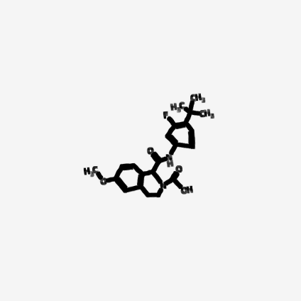 COc1ccc2c(c1)CCN(C(=O)O)C2C(=O)Nc1ccc(C(C)(C)C)c(F)c1